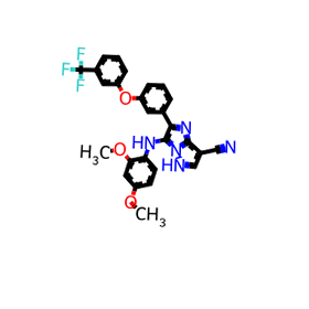 COc1ccc(Nc2c(-c3cccc(Oc4cccc(C(F)(F)F)c4)c3)nc3c(C#N)c[nH]n23)c(OC)c1